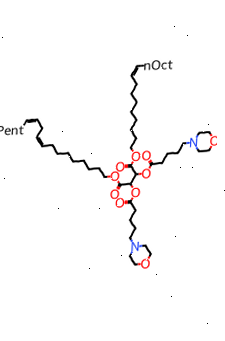 CCCCC/C=C\C/C=C\CCCCCCCCOC(=O)C(OC(=O)CCCCN1CCOCC1)C(OC(=O)CCCCN1CCOCC1)C(=O)OCCCCCCCC/C=C\CCCCCCCC